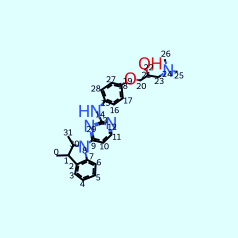 CC1c2ccccc2N(c2ccnc(Nc3ccc(OCC(O)CN(C)C)cc3)n2)C1C